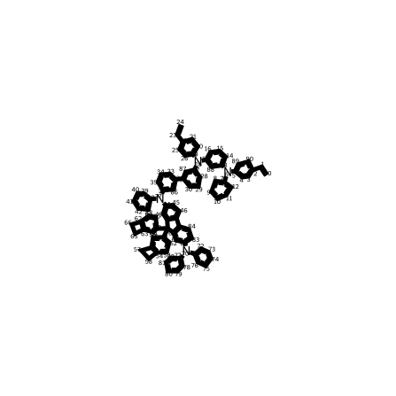 C=Cc1ccc(N(c2ccccc2)c2cccc(N(c3ccc(C=C)cc3)c3cccc(-c4cccc(N(c5ccccc5)c5ccc6c(c5)C(c5ccc7c(c5)CC7)(c5ccc7c(c5)CC7)c5cc(N(c7ccccc7)c7ccccc7)ccc5-6)c4)c3)c2)cc1